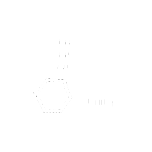 [HH].[HH].[HH].[HH].[HH].[HH].c1ccncc1